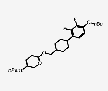 CCCCCC1CCC(OCC2CCC(c3ccc(OCCCC)c(F)c3F)CC2)OC1